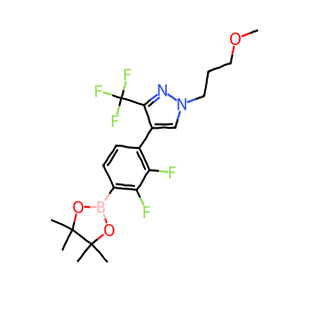 COCCCn1cc(-c2ccc(B3OC(C)(C)C(C)(C)O3)c(F)c2F)c(C(F)(F)F)n1